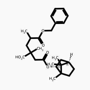 CC(CC(C)(CC(=O)O[C@@H]1C[C@H]2CCC1(C)C2(C)C)C(=O)O)C(=O)OCc1ccccc1